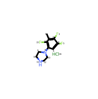 Cc1c(F)c(F)cc(N2CCNCC2)c1F.Cl